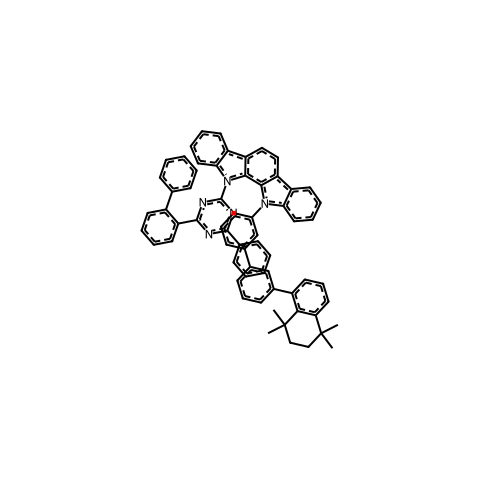 CC1(C)CCC(C)(C)c2c(-c3cccc(-c4cccc(-n5c6ccccc6c6ccc7c8ccccc8n(-c8nc(-c9ccccc9)nc(-c9ccccc9-c9ccccc9)n8)c7c65)c4)c3)cccc21